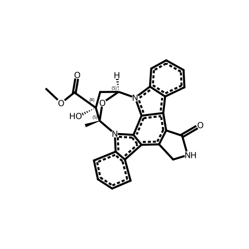 COC(=O)[C@@]1(O)C[C@@H]2O[C@]1(C)n1c3ccccc3c3c4c(c5c6ccccc6n2c5c31)C(=O)NC4